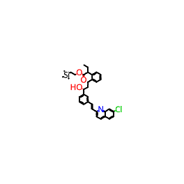 CCC(C(=O)OCC[Si](C)(C)C)c1ccccc1CC[C@@H](O)c1cccc(C=Cc2ccc3ccc(Cl)cc3n2)c1